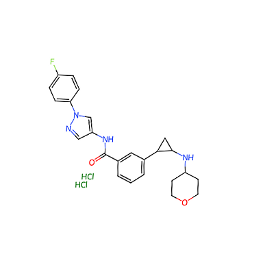 Cl.Cl.O=C(Nc1cnn(-c2ccc(F)cc2)c1)c1cccc(C2CC2NC2CCOCC2)c1